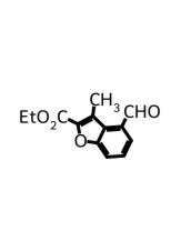 CCOC(=O)c1oc2cccc(C=O)c2c1C